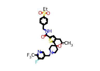 CCS(=O)(=O)c1ccc(CNC(=O)c2cc3c(s2)C2(CCN(Cc4cnc(C(F)(F)F)c(F)c4)CC2)O[C@H](C)C3)cc1